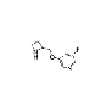 Fc1cncc(OCC2CCN2)c1